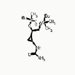 CC(C)(C)[Si](C)(C)OCC(O[Si](C)(C)C(C)(C)C)C1CC1NC(N)=O